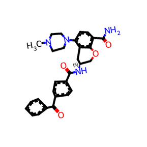 CN1CCN(c2ccc(C(N)=O)c3c2C[C@H](NC(=O)c2ccc(C(=O)c4ccccc4)cc2)CO3)CC1